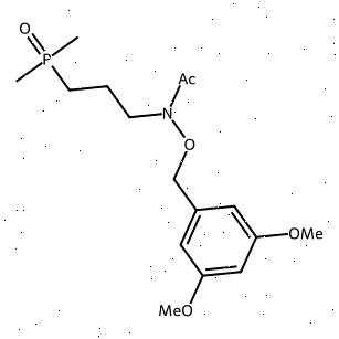 COc1cc(CON(CCCP(C)(C)=O)C(C)=O)cc(OC)c1